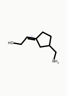 NCC1CC/C(=C/CO)C1